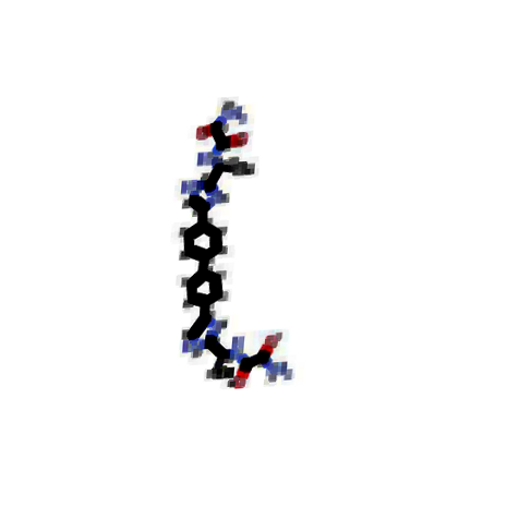 CC(C)(C)[C@H](NC(=O)C(N)=O)c1nc(-c2ccc(-c3ccc(-c4c[nH]c([C@@H](NC(=O)C(N)=O)C(C)(C)C)n4)cc3)cc2)c[nH]1